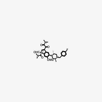 COc1cc2c(cc1N1C[C@H](C)N(Cc3ccc(F)cc3)C[C@H]1C)C(C(=O)C(=O)N(C)C)=C[N+]2(C=O)C(=O)N(C)C